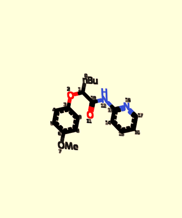 CCCCC(Oc1ccc(OC)cc1)C(=O)Nc1ccccn1